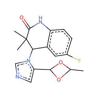 CC1OC(c2cncn2C2c3cc(F)ccc3NC(=O)C2(C)C)O1